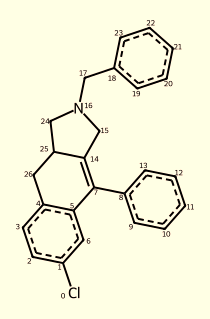 Clc1ccc2c(c1)C(c1ccccc1)=C1CN(Cc3ccccc3)CC1C2